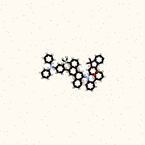 CC1(C)c2ccccc2-c2ccc(N(c3ccccc3-c3ccccc3)c3cc4c5cccc6c5c(cc4c4ccccc34)-c3ccc(N(c4ccccc4)c4ccccc4)cc3[Si]6(C)C)cc21